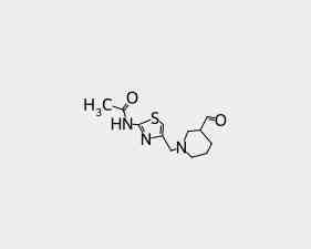 CC(=O)Nc1nc(CN2CCCC(C=O)C2)cs1